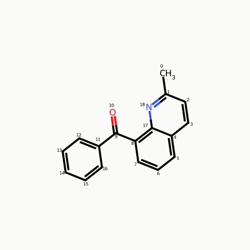 Cc1ccc2cccc(C(=O)c3ccccc3)c2n1